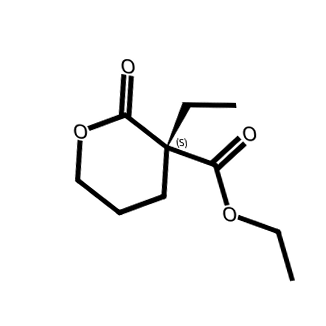 CCOC(=O)[C@]1(CC)CCCOC1=O